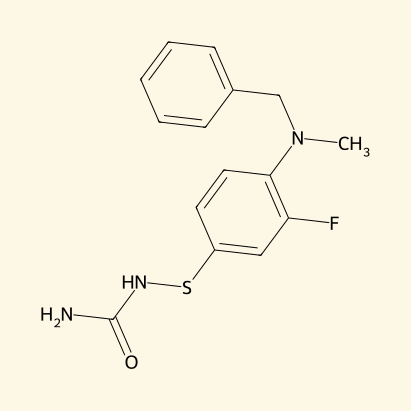 CN(Cc1ccccc1)c1ccc(SNC(N)=O)cc1F